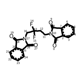 O=C1c2ccccc2C(=O)N1CCC(F)(F)CN1C(=O)c2ccccc2C1=O